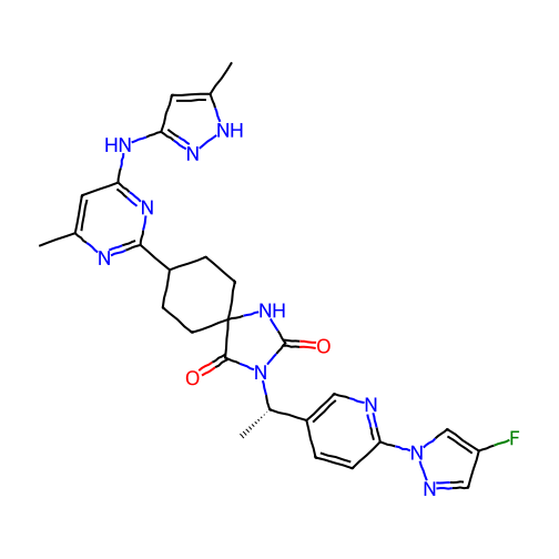 Cc1cc(Nc2cc(C)[nH]n2)nc(C2CCC3(CC2)NC(=O)N([C@@H](C)c2ccc(-n4cc(F)cn4)nc2)C3=O)n1